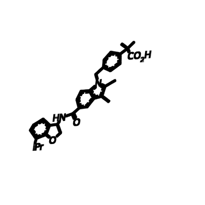 Cc1c(C)n(Cc2ccc(C(C)(C)C(=O)O)cc2)c2ccc(C(=O)NC3COc4c(C(C)C)cccc43)cc12